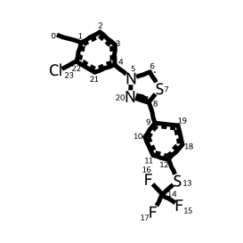 Cc1ccc(N2[CH]SC(c3ccc(SC(F)(F)F)cc3)=N2)cc1Cl